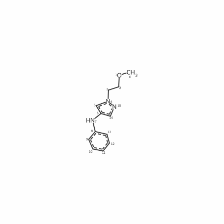 COCCn1cc(Nc2ccccc2)cn1